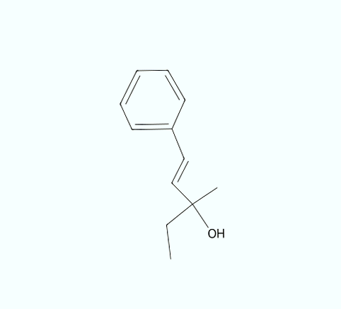 CCC(C)(O)C=Cc1ccccc1